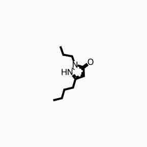 CCCCc1cc(=O)n(CCC)[nH]1